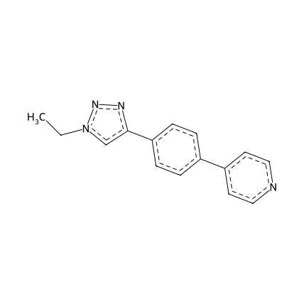 CCn1cc(-c2ccc(-c3ccncc3)cc2)nn1